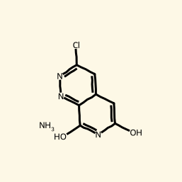 N.Oc1cc2cc(Cl)nnc2c(O)n1